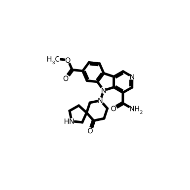 COC(=O)c1ccc2c3cncc(C(N)=O)c3n(N3CCC(=O)C4(CCNC4)C3)c2c1